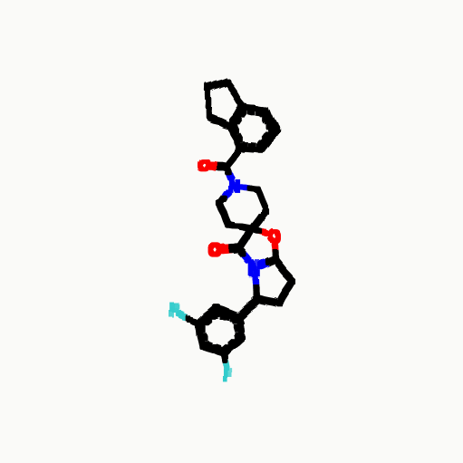 O=C(c1cccc2c1CCC2)N1CCC2(CC1)OC1CCC(c3cc(F)cc(F)c3)N1C2=O